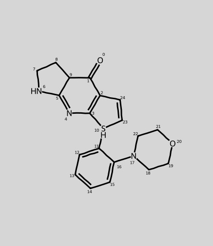 O=C1C2=C(N=C3NCCC13)[SH](c1ccccc1N1CCOCC1)C=C2